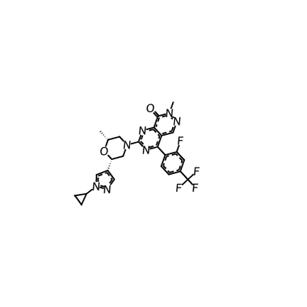 C[C@@H]1CN(c2nc(-c3ccc(C(F)(F)F)cc3F)c3cnn(C)c(=O)c3n2)C[C@H](c2cnn(C3CC3)c2)O1